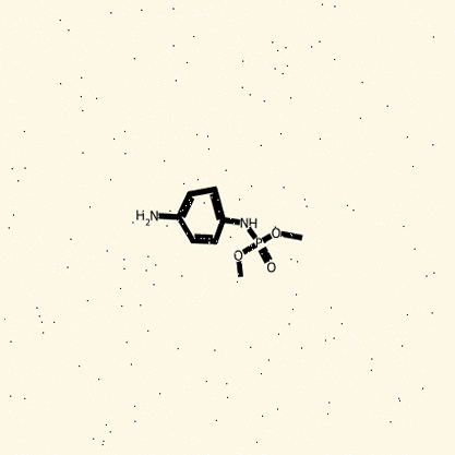 COP(=O)(Nc1ccc(N)cc1)OC